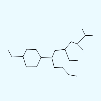 CCCCC(CC(CC)CC(F)C(C)F)C1CCC(CC)CC1